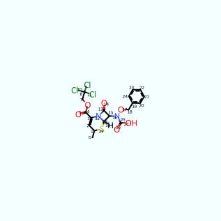 CC1C=C(C(=O)OCC(Cl)(Cl)Cl)N2C(=O)C(N(OCc3ccccc3)C(=O)O)[C@@H]2S1